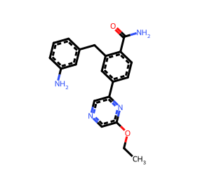 CCOc1cncc(-c2ccc(C(N)=O)c(Cc3cccc(N)c3)c2)n1